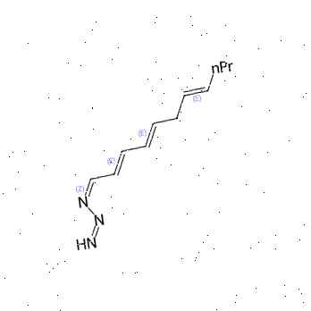 CCC/C=C/C/C=C/C=C/C=N\N=N